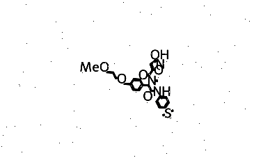 COCCCOCc1ccc(C(C(=O)Nc2ccc(S(C)(C)C)cc2)N(C)C(=O)c2cc(O)no2)cc1